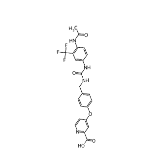 CC(=O)Nc1ccc(NC(=O)NCc2ccc(Oc3ccnc(C(=O)O)c3)cc2)cc1C(F)(F)F